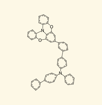 c1ccc(-c2ccc(N(c3ccccc3)c3ccc(-c4cccc(-c5cc6c7c(c5)Oc5ccccc5N7c5ccccc5O6)c4)cc3)cc2)cc1